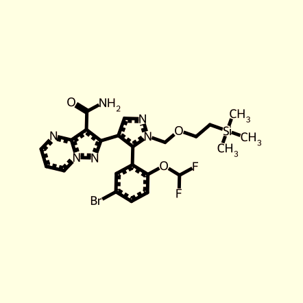 C[Si](C)(C)CCOCn1ncc(-c2nn3cccnc3c2C(N)=O)c1-c1cc(Br)ccc1OC(F)F